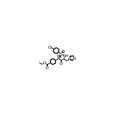 CCOC(=O)c1ccc(NC(=O)C(Cn2ccnc2)NS(=O)(=O)c2ccc(Cl)cc2)cc1